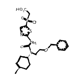 C[C@H]1CC[C@H](N(CCOCc2ccccc2)C(=O)Nc2ncc(S(=O)(=O)CC(=O)O)s2)CC1